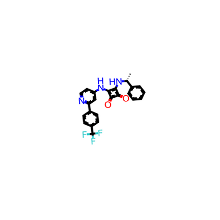 C[C@@H](Nc1c(Nc2ccnc(-c3ccc(C(F)(F)F)cc3)c2)c(=O)c1=O)c1ccccc1